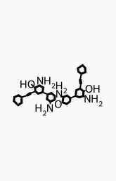 Nc1cc(-c2cc(N)c(O)c(C#Cc3ccccc3)c2)ccc1Oc1ccc(-c2cc(N)c(O)c(C#Cc3ccccc3)c2)cc1N